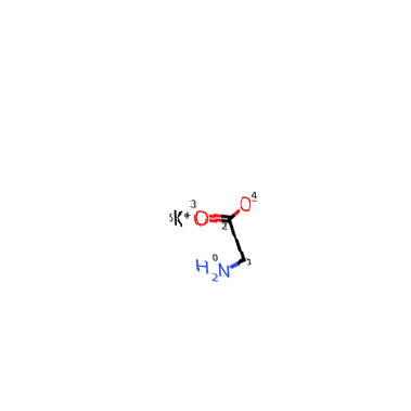 NCC(=O)[O-].[K+]